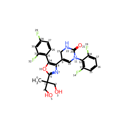 CC(CO)(CO)c1nc(C2=CN(c3c(F)cccc3F)C(=O)NC2)c(-c2ccc(F)cc2F)o1